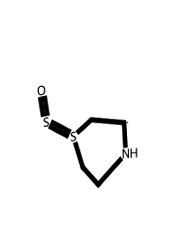 O=S=S1C[CH]NCC1